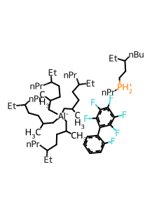 CCCC(CC)CCC(C)[CH2][Al-]([CH2]C(C)CCC(CC)CCC)([CH2]C(C)CCC(CC)CCC)[CH2]C(C)CCC(CC)CCC.CCCCC(CC)CC[PH2+]CCC.Fc1ccccc1-c1c(F)c(F)c(F)c(F)c1F